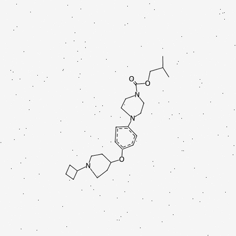 CC(C)COC(=O)N1CCN(c2ccc(OC3CCN(C4CCC4)CC3)cc2)CC1